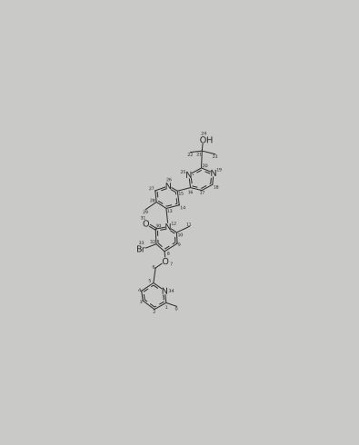 Cc1cccc(COc2cc(C)n(-c3cc(-c4ccnc(C(C)(C)O)n4)ncc3C)c(=O)c2Br)n1